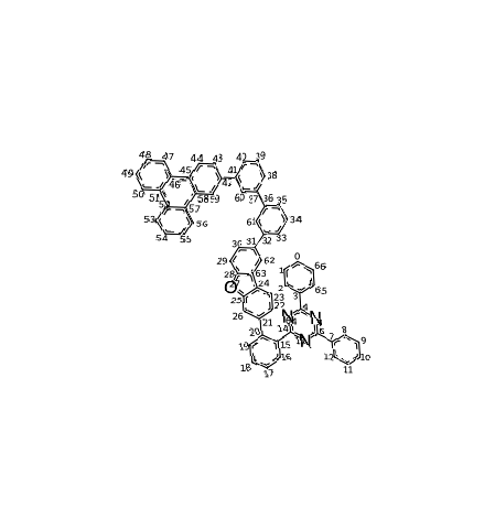 c1ccc(-c2nc(-c3ccccc3)nc(-c3ccccc3-c3ccc4c(c3)oc3ccc(-c5cccc(-c6cccc(-c7ccc8c9ccccc9c9ccccc9c8c7)c6)c5)cc34)n2)cc1